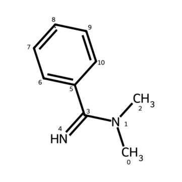 CN(C)C(=N)c1cc[c]cc1